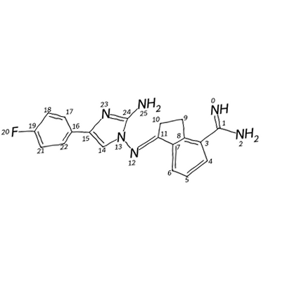 N=C(N)c1cccc2c1CC/C2=N\n1cc(-c2ccc(F)cc2)nc1N